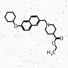 CCOC(=O)C1CCN(Cc2ccc3cc(OC4CCCCC4)ccc3c2)CC1